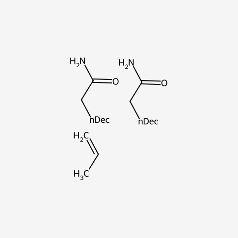 C=CC.CCCCCCCCCCCC(N)=O.CCCCCCCCCCCC(N)=O